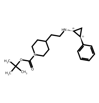 CC(C)(C)OC(=O)N1CCC(CCN[C@@H]2C[C@H]2c2ccccc2)CC1